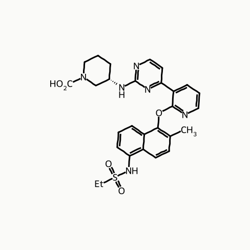 CCS(=O)(=O)Nc1cccc2c(Oc3ncccc3-c3ccnc(N[C@H]4CCCN(C(=O)O)C4)n3)c(C)ccc12